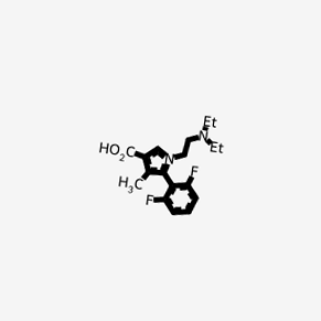 CCN(CC)CCn1cc(C(=O)O)c(C)c1-c1c(F)cccc1F